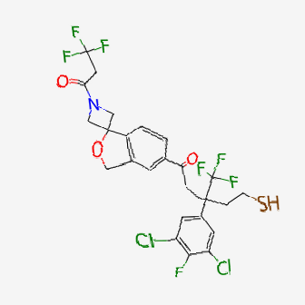 O=C(CC(CCS)(c1cc(Cl)c(F)c(Cl)c1)C(F)(F)F)c1ccc2c(c1)COC21CN(C(=O)CC(F)(F)F)C1